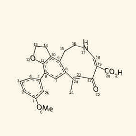 COc1cccc(-c2cc3c(c4c2OCC4)CCN/C=C(/C(=O)O)C(=O)/C=C/3C)c1